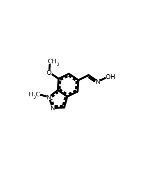 COc1cc(C=NO)cc2cnn(C)c12